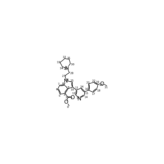 COC(=O)c1cccc2c1c(-c1cncc(-c3ccc(OC)cc3)c1)cn2CCN1CCCCC1